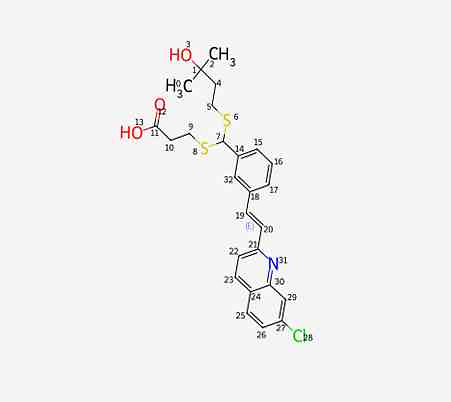 CC(C)(O)CCSC(SCCC(=O)O)c1cccc(/C=C/c2ccc3ccc(Cl)cc3n2)c1